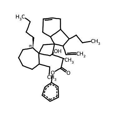 C=CC1C(CCC)C2CC=CCC2C1(CC(C)C(=O)Oc1ccccc1)CC1(CO)C(CC)CCCC[C@H]1CCCC